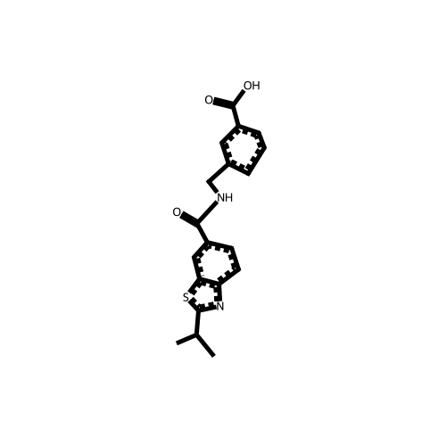 CC(C)c1nc2ccc(C(=O)NCc3cccc(C(=O)O)c3)cc2s1